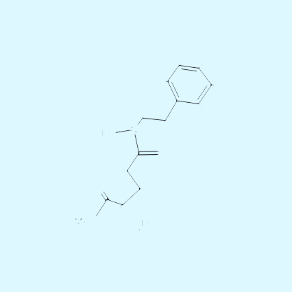 COC(=O)[C@@H](C)CCC(=O)N(C)CCc1ccccc1